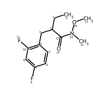 CCC(Cc1ccc(F)cc1F)C(=O)N(C)OC